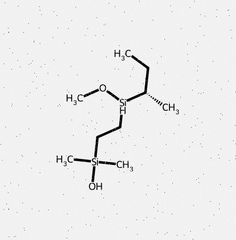 CC[C@H](C)[SiH](CC[Si](C)(C)O)OC